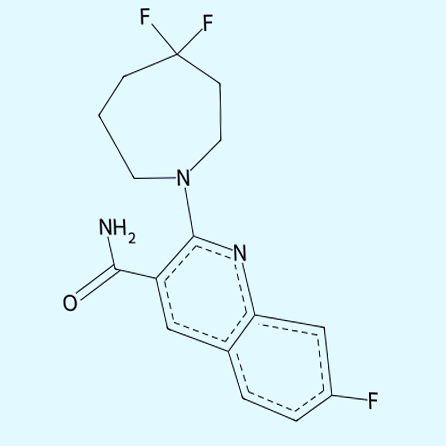 NC(=O)c1cc2ccc(F)cc2nc1N1CCCC(F)(F)CC1